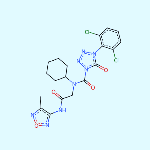 Cc1nonc1NC(=O)CN(C(=O)n1nnn(-c2c(Cl)cccc2Cl)c1=O)C1CCCCC1